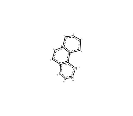 c1ccc2c(c1)ccc1nnnnc12